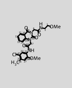 COCCNC(=O)Cn1c(=O)c2ccccc2n(CC(=O)Nc2cc(Cl)c(C)cc2OC)c1=O